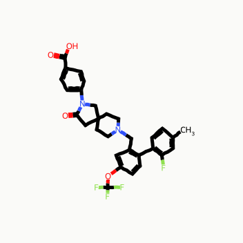 Cc1ccc(-c2ccc(OC(F)(F)F)cc2CN2CCC3(CC2)CC(=O)N(c2ccc(C(=O)O)cc2)C3)c(F)c1